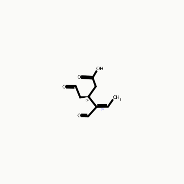 C/C=C(/C=O)[C@@H](CC=O)CC(=O)O